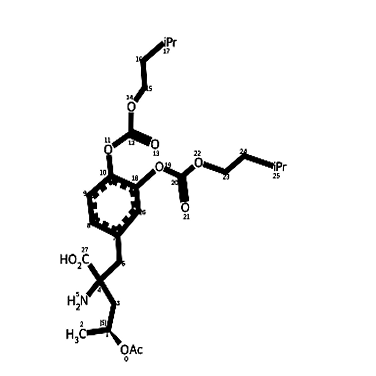 CC(=O)O[C@@H](C)CC(N)(Cc1ccc(OC(=O)OCCC(C)C)c(OC(=O)OCCC(C)C)c1)C(=O)O